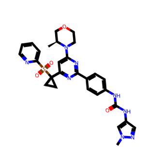 C[C@H]1COCCN1c1cc(C2(S(=O)(=O)c3ccccn3)CC2)nc(-c2ccc(NC(=O)Nc3cnn(C)c3)cc2)n1